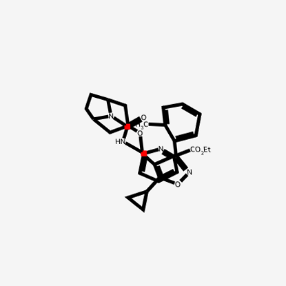 CCOC(=O)c1cccc(NC(=O)N2C3CCC2CC(OCc2c(-c4ccccc4C)noc2C2CC2)C3)n1